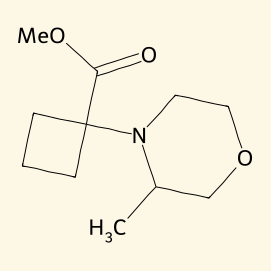 COC(=O)C1(N2CCOCC2C)CCC1